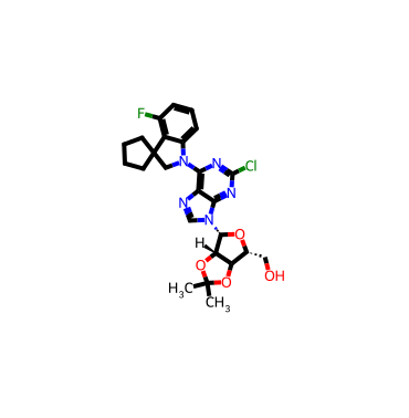 CC1(C)OC2[C@@H](CO)O[C@@H](n3cnc4c(N5CC6(CCCC6)c6c(F)cccc65)nc(Cl)nc43)[C@H]2O1